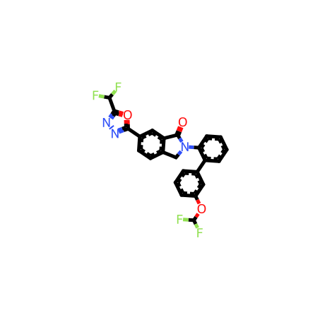 O=C1c2cc(-c3nnc(C(F)F)o3)ccc2CN1c1ccccc1-c1cccc(OC(F)F)c1